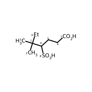 CCC(C)(C)C(CCC(=O)O)S(=O)(=O)O